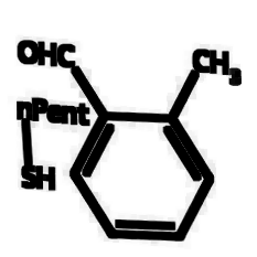 CCCCCS.Cc1ccccc1C=O